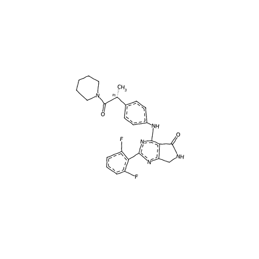 C[C@@H](C(=O)N1CCCCC1)c1ccc(Nc2nc(-c3c(F)cccc3F)nc3c2C(=O)NC3)cc1